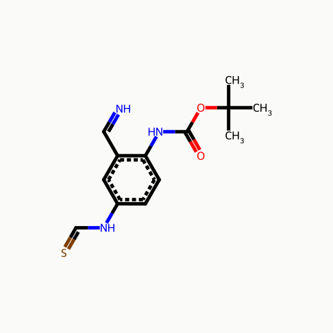 CC(C)(C)OC(=O)Nc1ccc(NC=S)cc1C=N